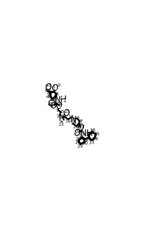 COc1cc(NC(=O)OCCCN(C)C(=O)CCN2CCC(OC(=O)Nc3ccccc3-c3ccccc3)CC2)c(Cl)cc1C=O